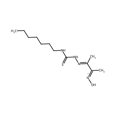 CCCCCCCNC(=S)NN=C(C)/C(C)=N/O